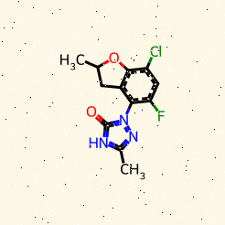 Cc1nn(-c2c(F)cc(Cl)c3c2CC(C)O3)c(=O)[nH]1